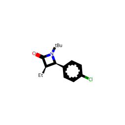 CC[C@H]1C(=O)N(C(C)(C)C)[C@H]1c1ccc(Cl)cc1